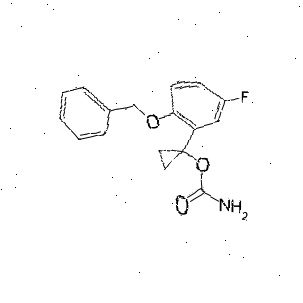 NC(=O)OC1(c2cc(F)ccc2OCc2ccccc2)CC1